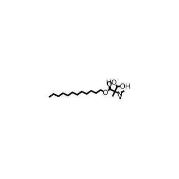 CCCCCCCCCCCCOC(=O)C(C)(C(O)O)N(C)C